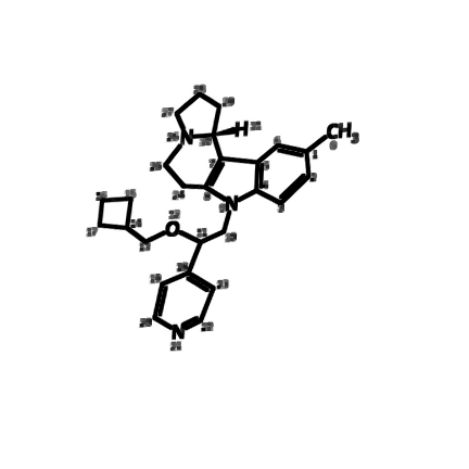 Cc1ccc2c(c1)c1c(n2CC(OCC2CCC2)c2ccncc2)CCN2CCC[C@H]12